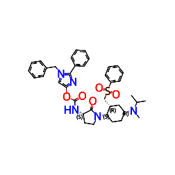 CC(C)N(C)[C@@H]1CC[C@H](N2CC[C@H](NC(=O)Oc3cn(Cc4ccccc4)c(-c4ccccc4)n3)C2=O)[C@H](CS(=O)(=O)c2ccccc2)C1